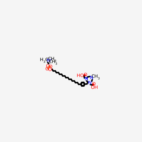 CN1CCN(CC(=O)O)CC(Cc2ccc(CCCCCCCCCCCCCCCCCCOP(=O)([O-])OCC[N+](C)(C)C)cc2)N(CC(=O)O)CC1